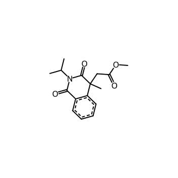 COC(=O)CC1(C)C(=O)N(C(C)C)C(=O)c2ccccc21